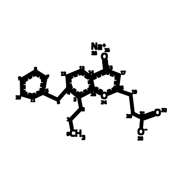 CCCc1c(Cc2ccccc2)ccc2c(=O)cc(CCC(=O)[O-])oc12.[Na+]